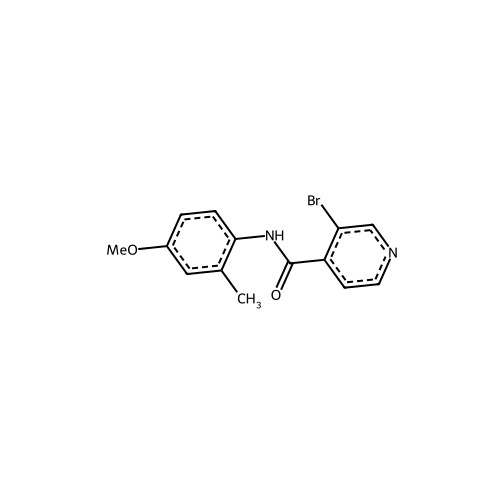 COc1ccc(NC(=O)c2ccncc2Br)c(C)c1